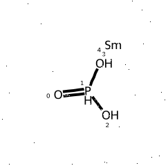 O=[PH](O)O.[Sm]